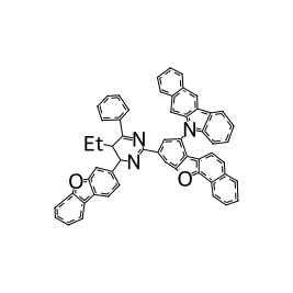 CCC1C(c2ccccc2)=NC(c2cc(-n3c4ccccc4c4cc5ccccc5cc43)c3c(c2)oc2c4ccccc4ccc23)=NC1c1ccc2c(c1)oc1ccccc12